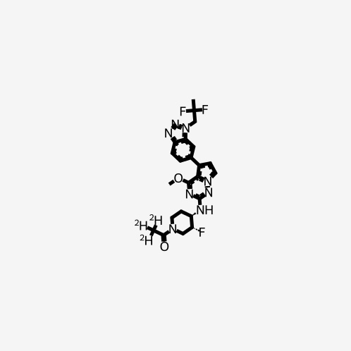 [2H]C([2H])([2H])C(=O)N1CC[C@H](Nc2nc(OC)c3c(-c4ccc5nnn(CC(C)(F)F)c5c4)ccn3n2)[C@H](F)C1